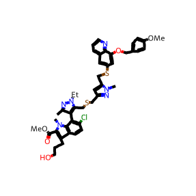 CCn1nc(C)c(-c2c(Cl)ccc3c(CCCO)c(C(=O)OC)n(C)c23)c1CSCc1cc(CSc2cc(OCc3ccc(OC)cc3)c3ncccc3c2)n(C)n1